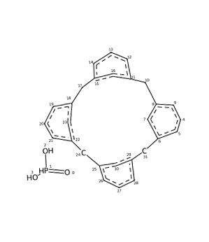 O=[PH](O)O.c1cc2cc(c1)Cc1cccc(c1)Cc1cccc(c1)Cc1cccc(c1)C2